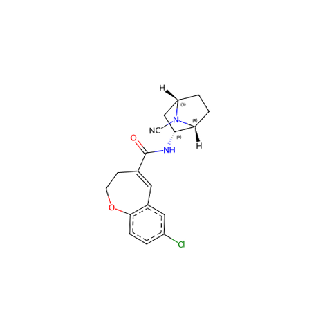 N#CN1[C@H]2CC[C@@H]1[C@H](NC(=O)C1=Cc3cc(Cl)ccc3OCC1)C2